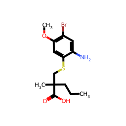 CCCC(C)(CSc1cc(OC)c(Br)cc1N)C(=O)O